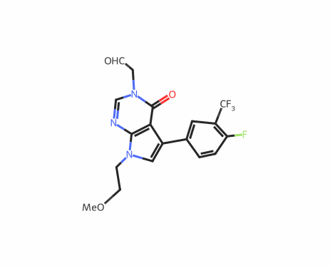 COCCn1cc(-c2ccc(F)c(C(F)(F)F)c2)c2c(=O)n(CC=O)cnc21